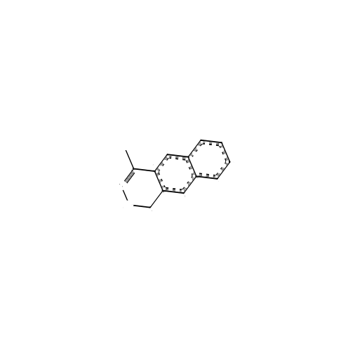 CC1=NOCc2cc3ccccc3cc21